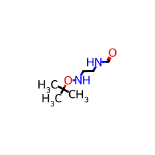 CC(C)(C)ONCCNC=O